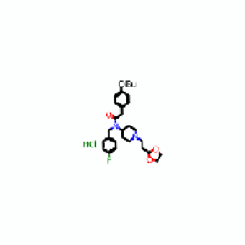 CC(C)COc1ccc(CC(=O)N(Cc2ccc(F)cc2)C2CCN(CCC3OCCO3)CC2)cc1.Cl